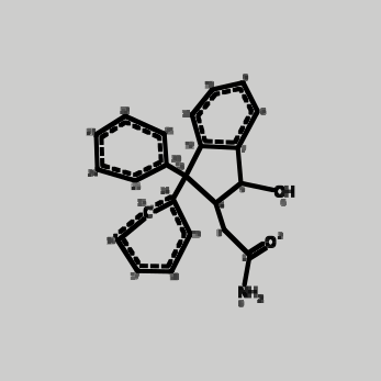 NC(=O)CC1C(O)c2ccccc2C1(c1ccccc1)c1ccccc1